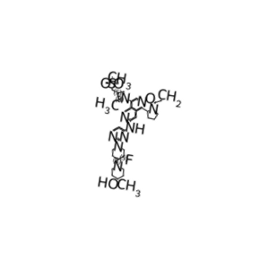 C=CC(=O)N1CCCC1c1ncc(N2C[C@H](CS(C)(=O)=O)[C@H]2C)c2cnc(Nc3ccnc(N4CC[C@@H](N5CCC(C)(O)CC5)[C@@H](F)C4)n3)cc12